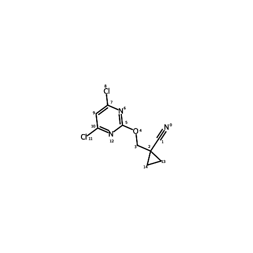 N#CC1(COc2nc(Cl)cc(Cl)n2)CC1